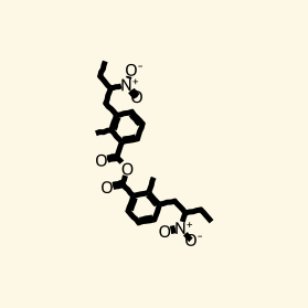 CCC(Cc1cccc(C(=O)OC(=O)c2cccc(CC(CC)[N+](=O)[O-])c2C)c1C)[N+](=O)[O-]